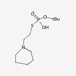 CC(C)(C)OP(=O)(O)SCCN1CCCCC1